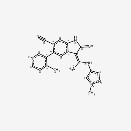 C/C(Nc1cnn(C)c1)=C1/C(=O)Nc2cc(C#N)c(-c3cnccc3C)cc21